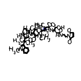 CN[C@H](C(=O)NC(C(=O)N(C)C/C=C(\C)C(=O)N[C@H](CC(=O)NCCN1C(=O)C=CC1=O)C(=O)O)C(C)(C)C)C(C)(C)c1cn(C)c2ccccc12